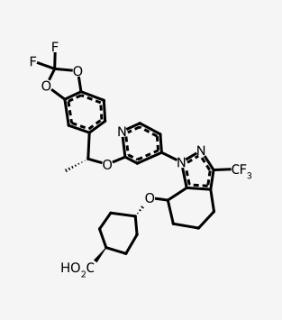 C[C@@H](Oc1cc(-n2nc(C(F)(F)F)c3c2C(O[C@H]2CC[C@H](C(=O)O)CC2)CCC3)ccn1)c1ccc2c(c1)OC(F)(F)O2